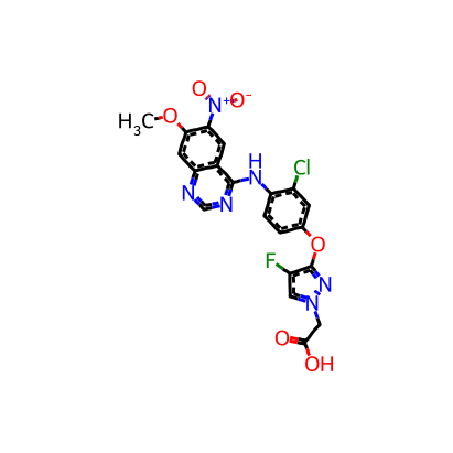 COc1cc2ncnc(Nc3ccc(Oc4nn(CC(=O)O)cc4F)cc3Cl)c2cc1[N+](=O)[O-]